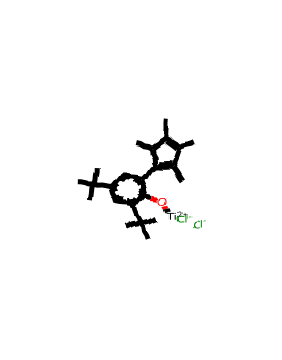 CC1=C(C)C(C)C(c2cc(C(C)(C)C)cc(C(C)(C)C)c2[O][Ti+2])=C1C.[Cl-].[Cl-]